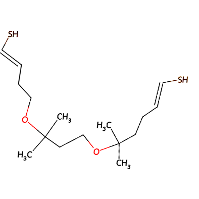 CC(C)(CCC=CS)OCCC(C)(C)OCCC=CS